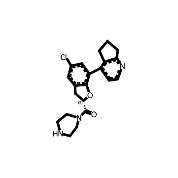 O=C([C@@H]1Cc2cc(Cl)cc(-c3ccnc4c3CCC4)c2O1)N1CCNCC1